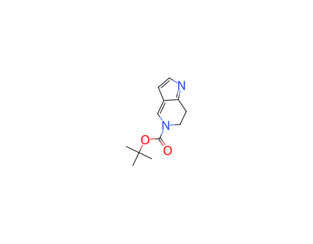 CC(C)(C)OC(=O)N1C=C2C=CN=C2CC1